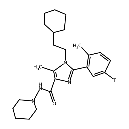 Cc1ccc(F)cc1-c1nc(C(=O)NN2CCCCC2)c(C)n1CCC1CCCCC1